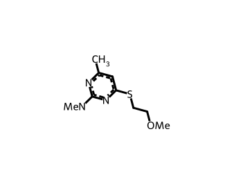 CNc1nc(C)cc(SCCOC)n1